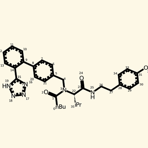 CCCCC(=O)N(Cc1ccc(-c2ccccc2-c2nnn[nH]2)cc1)[C@H](C(=O)NCCc1ccc(O)cc1)C(C)C